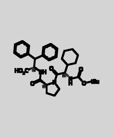 CC(C)(C)OC(=O)N[C@H](C(=O)N1CCC[C@H]1C(=O)N[C@H](C(=O)O)C(c1ccccc1)c1ccccc1)C1CCCCC1